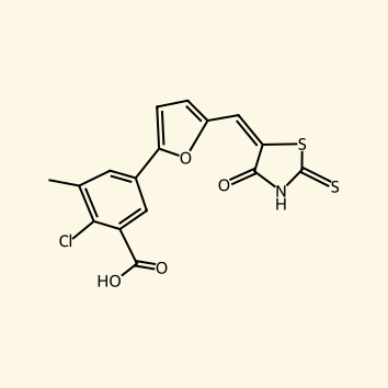 Cc1cc(-c2ccc(C=C3SC(=S)NC3=O)o2)cc(C(=O)O)c1Cl